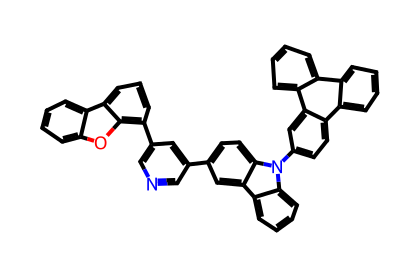 c1ccc2c(c1)oc1c(-c3cncc(-c4ccc5c(c4)c4ccccc4n5-c4ccc5c6ccccc6c6ccccc6c5c4)c3)cccc12